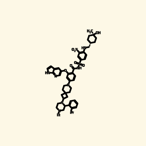 CCN1CCN(C2CC3(CCN(c4ccc(C(=O)NS(=O)(=O)c5ccc(NC[C@H]6CC[C@](C)(O)CC6)c([N+](=O)[O-])c5)c(Oc5cnc6[nH]ccc6c5)c4)CC3)C2)C(c2ccccc2C(C)C)C1